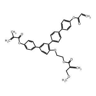 C=CC(=O)Oc1ccc(-c2ccc(-c3cc(-c4ccc(OC(=O)C(=C)C)cc4)ccc3OCCOC(=O)C(=C)COC)cc2)cc1